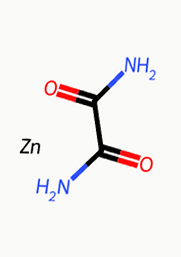 NC(=O)C(N)=O.[Zn]